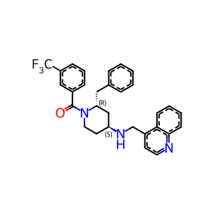 O=C(c1cccc(C(F)(F)F)c1)N1CC[C@H](NCc2ccnc3ccccc23)C[C@H]1Cc1ccccc1